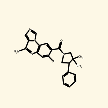 CC1(C)CN(C(=O)c2cc3c(cc2F)nc(N)c2cncn23)CC1c1ccccc1